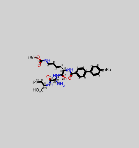 CCCCc1ccc(-c2ccc(C(=O)N[C@@H](CCCCNC(=O)OC(C)(C)C)C(=O)N[C@@H](N)C(=O)N[C@@H](CC(C)C)C(=O)O)cc2)cc1